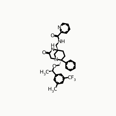 Cc1cc([C@@H](C)OC[C@@]2(c3ccccc3)CC[C@]3(CNC(=O)c4ccccn4)CN2CC(=O)N3)cc(C(F)(F)F)c1